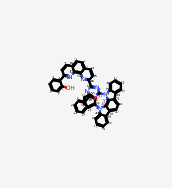 Oc1ccccc1-c1ccc2ccc3ccc(-c4nc(-c5ccccc5)nc(-n5c6ccccc6c6ccc7c8ccccc8n(-c8ccccc8)c7c65)n4)nc3c2n1